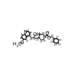 COc1ccc2nccc(CC(O)CC3CCN(C(=O)OCc4ccccc4)CC3)c2c1